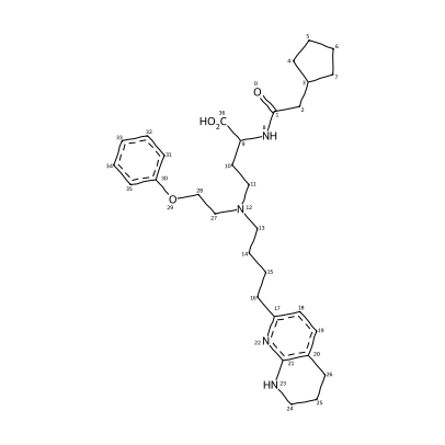 O=C(CC1CCCC1)NC(CCN(CCCCc1ccc2c(n1)NCCC2)CCOc1ccccc1)C(=O)O